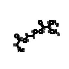 C=C(C)C(=O)OOCCOC(=O)CC(C)=O